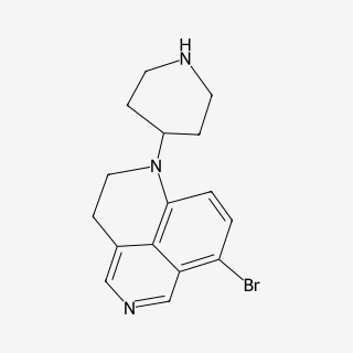 Brc1ccc2c3c(cncc13)CCN2C1CCNCC1